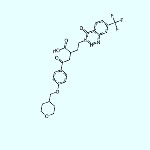 O=C(CC(CCn1nnc2cc(C(F)(F)F)ccc2c1=O)C(=O)O)c1ccc(OCC2CCOCC2)cc1